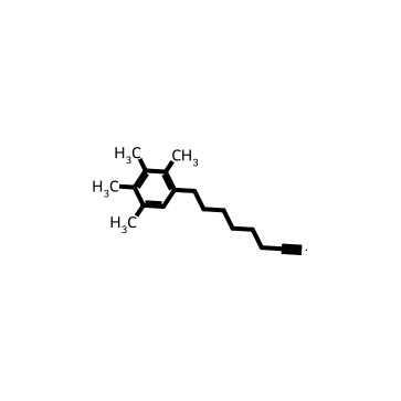 [C]#CCCCCCCc1cc(C)c(C)c(C)c1C